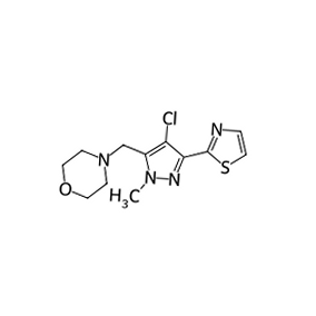 Cn1nc(-c2nccs2)c(Cl)c1CN1CCOCC1